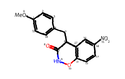 COc1ccc(CC2C(=O)NOc3ccc([N+](=O)[O-])cc32)cc1